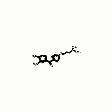 CN(C)CCCOc1ccc(C(=O)c2ccc(N)c(N)c2)cc1